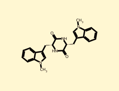 Cn1cc(C[C@H]2NC(=O)[C@@H](Cc3cn(C)c4ccccc34)NC2=O)c2ccccc21